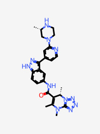 CC1=C(C(=O)Nc2ccc3[nH]nc(-c4ccnc(N5CCN[C@@H](C)C5)c4)c3c2)[C@H](C)n2nnnc2N1C